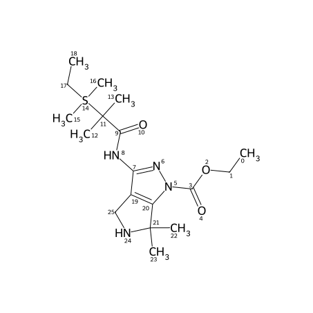 CCOC(=O)n1nc(NC(=O)C(C)(C)S(C)(C)CC)c2c1C(C)(C)NC2